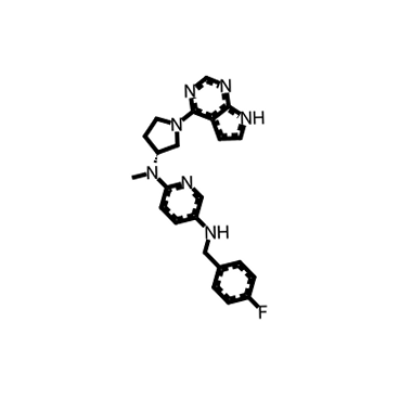 CN(c1ccc(NCc2ccc(F)cc2)cn1)[C@@H]1CCN(c2ncnc3[nH]ccc23)C1